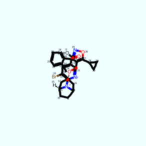 COC(=O)c1cnc(N2C3CC[C@H]2C[C@H](OCc2c(-c4ccccc4C)noc2C2CC2)C3)c(Br)c1